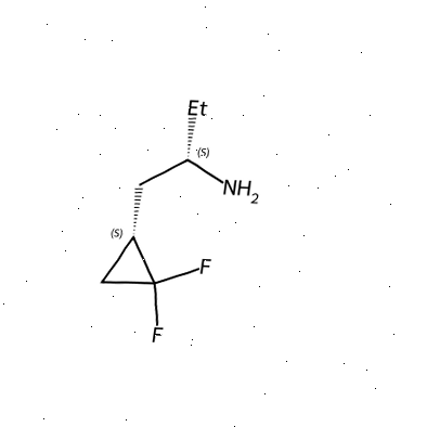 CC[C@H](N)C[C@H]1CC1(F)F